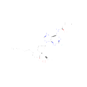 C#CC1(CO)O[C@@H](n2cnc3c(NC(=O)CCCCCC)nc(F)nc32)C[C@H]1C(CCCCCCCCCCCC)C(=O)O